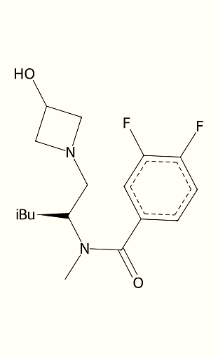 CC[C@H](C)C(CN1CC(O)C1)N(C)C(=O)c1ccc(F)c(F)c1